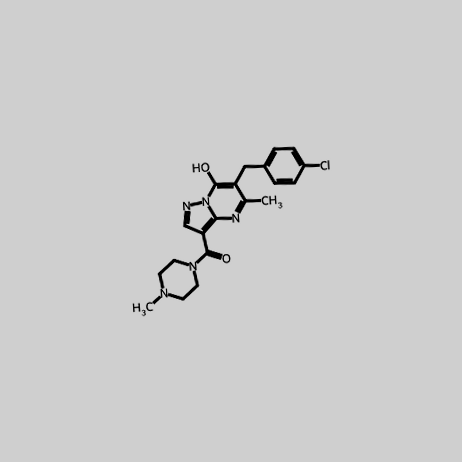 Cc1nc2c(C(=O)N3CCN(C)CC3)cnn2c(O)c1Cc1ccc(Cl)cc1